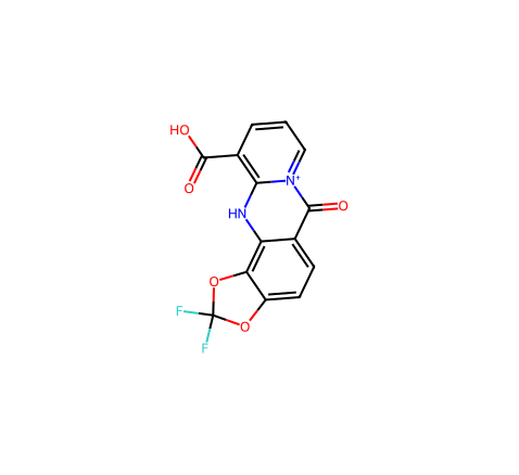 O=C(O)c1ccc[n+]2c(=O)c3ccc4c(c3[nH]c12)OC(F)(F)O4